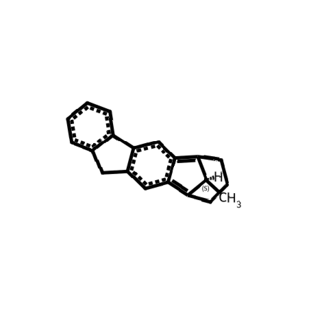 C[C@H]1C2=c3cc4c(cc3=C1CCC2)-c1ccccc1C4